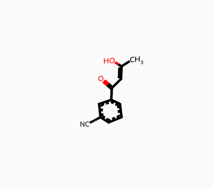 C/C(O)=C/C(=O)c1cccc(C#N)c1